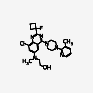 Cc1cccnc1N1CCN(c2nc(C3(F)CCC3)nc3c(Cl)cc(N(C)CCO)cc23)CC1